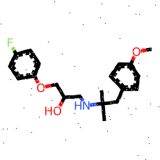 COc1ccc(CC(C)(C)NCC(O)COc2ccc(F)cc2)cc1